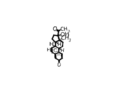 CC(=O)[C@@]1(O)CC[C@H]2[C@@H]3C=CC4=CC(=O)C=C[C@]4(C)[C@H]3CC[C@@]21C